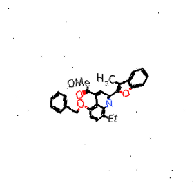 CCc1ccc(OCc2ccccc2)c2c(C(=O)OC)cc(-c3oc4ccccc4c3C)nc12